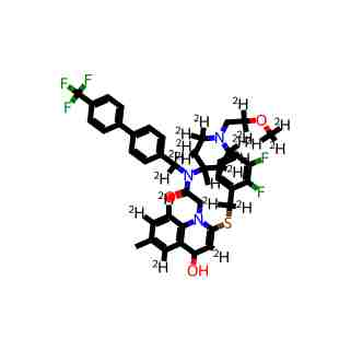 [2H]C1=C(SC([2H])([2H])c2cccc(F)c2F)N(CC(=O)N(C([2H])([2H])c2ccc(-c3ccc(C(F)(F)F)cc3)cc2)C2(C)C([2H])([2H])C([2H])([2H])N(CC([2H])([2H])OC([2H])([2H])[2H])C([2H])([2H])C2([2H])[2H])c2c([2H])c([2H])c(C)c([2H])c2C1O